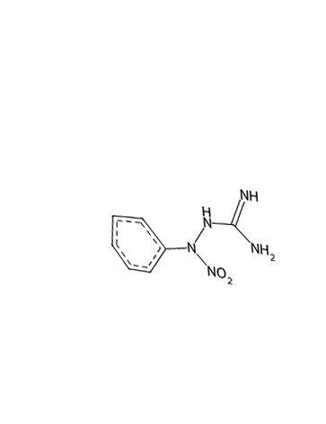 N=C(N)NN(c1ccccc1)[N+](=O)[O-]